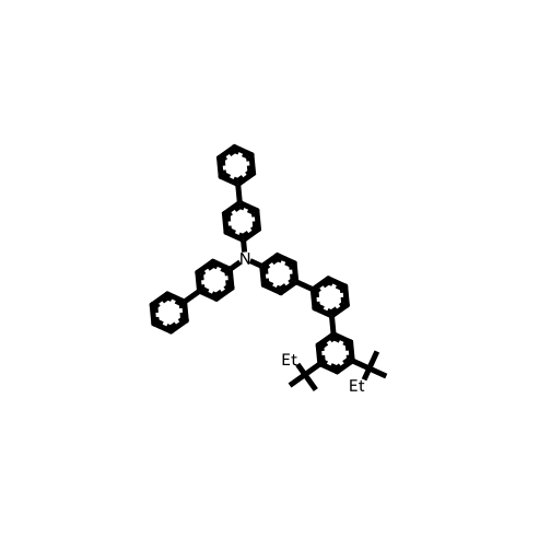 CCC(C)(C)c1cc(-c2cccc(-c3ccc(N(c4ccc(-c5ccccc5)cc4)c4ccc(-c5ccccc5)cc4)cc3)c2)cc(C(C)(C)CC)c1